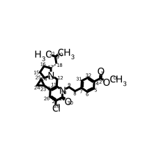 COC(=O)c1ccc(CCn2c(CN3CCC[C@@H]3CC(C)C)c(C3CC3)cc(Cl)c2=O)cc1